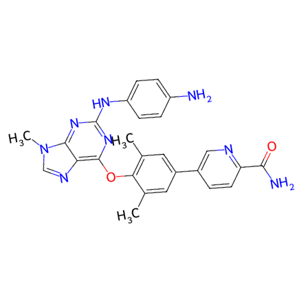 Cc1cc(-c2ccc(C(N)=O)nc2)cc(C)c1Oc1nc(Nc2ccc(N)cc2)nc2c1ncn2C